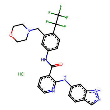 Cl.O=C(Nc1ccc(C(F)(F)C(F)(F)F)c(CN2CCOCC2)c1)c1cccnc1Nc1ccc2cn[nH]c2c1